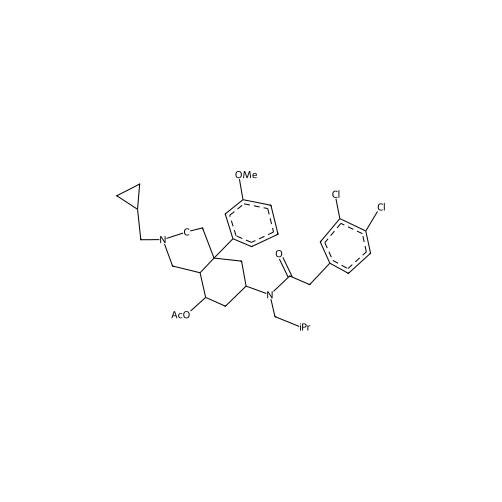 COc1cccc(C23CCN(CC4CC4)CC2C(OC(C)=O)CC(N(CC(C)C)C(=O)Cc2ccc(Cl)c(Cl)c2)C3)c1